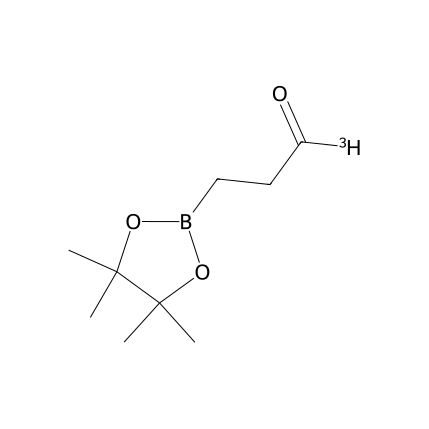 [3H]C(=O)CCB1OC(C)(C)C(C)(C)O1